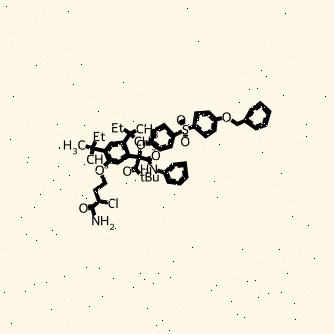 CCC(C)(C)c1cc(C(C)(C)CC)c(C(Oc2ccc(S(=O)(=O)c3ccc(OCc4ccccc4)cc3)cc2)(C(=O)Nc2ccccc2)C(=O)C(C)(C)C)cc1OCCC(Cl)C(N)=O